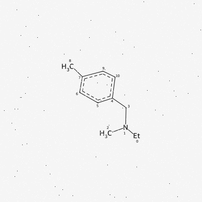 CCN(C)Cc1ccc(C)cc1